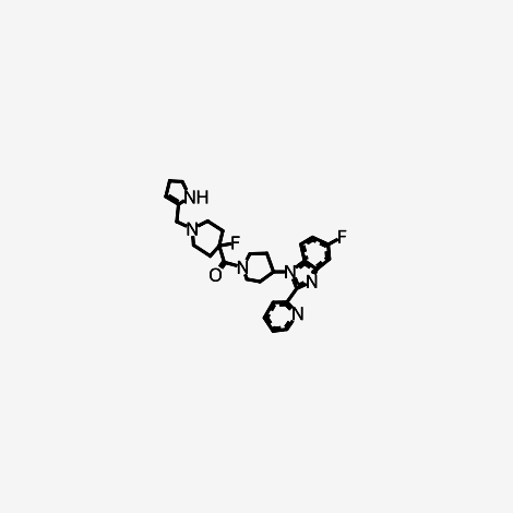 O=C(N1CCC(n2c(-c3ccccn3)nc3cc(F)ccc32)CC1)C1(F)CCN(CC2=CCCN2)CC1